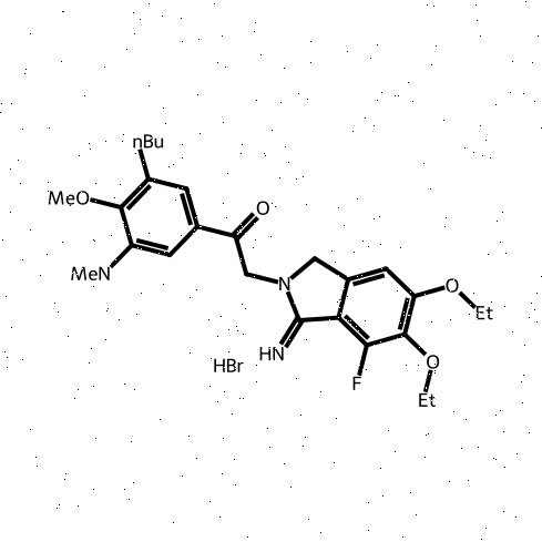 Br.CCCCc1cc(C(=O)CN2Cc3cc(OCC)c(OCC)c(F)c3C2=N)cc(NC)c1OC